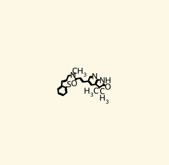 CN(Cc1cc2ccccc2s1)C(=O)C=Cc1cnc2c(c1)C(C)(C)C(=O)N2